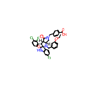 CCOc1cccc(CN2[C@H]3CN(Cc4ccc(C(=O)O)cc4)C(=O)[C@H]3[C@H](c3cccc(Cl)c3F)[C@]23C(=O)Nc2cc(Cl)ccc23)c1